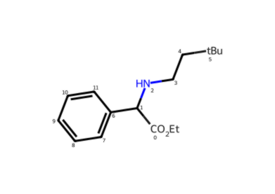 CCOC(=O)C(NCCC(C)(C)C)c1ccccc1